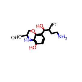 CC(C)C(CCN)C(O)c1ccc(O)c2c1OCC(C=O)N2